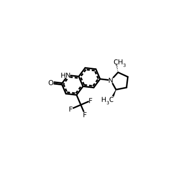 C[C@@H]1CC[C@@H](C)N1c1ccc2[nH]c(=O)cc(C(F)(F)F)c2c1